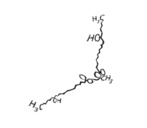 CCCCCCC(O)CCCCCCCCCCC(=O)OCCC(C)OC(=O)CCCCCCCCCCC(O)CCCCCC